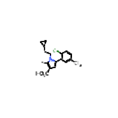 Cc1c(C(=O)O)cc(-c2cc(C(F)(F)F)ccc2Cl)n1CCC1CC1